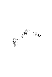 O=C(/C=C/c1cccnc1)NCCCCC1CCN(C(=O)c2ccc(N3CCN(CCCC#Cc4cccc5c4C(=O)N(C4CCC(=O)NC4=O)C5=O)CC3)nn2)CC1